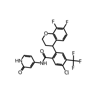 O=C(Nc1cc[nH]c(=O)c1)c1cc(Cl)c(C(F)(F)F)cc1C1CCOc2c1ccc(F)c2F